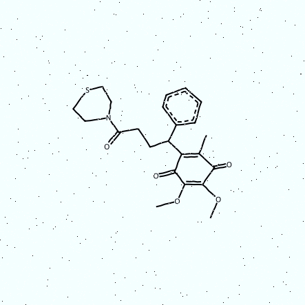 COC1=C(OC)C(=O)C(C(CCC(=O)N2CCSCC2)c2ccccc2)=C(C)C1=O